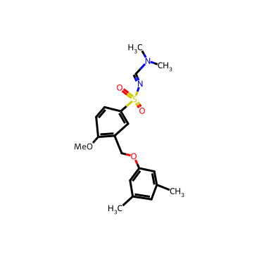 COc1ccc(S(=O)(=O)N=CN(C)C)cc1COc1cc(C)cc(C)c1